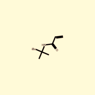 C=CC(=O)NC(C)(C)C(C)CC